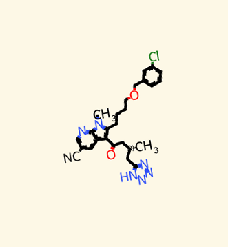 C[C@@H](CC(=O)c1c(CCCCOCc2cccc(Cl)c2)n(C)c2ncc(C#N)cc12)Cc1nnn[nH]1